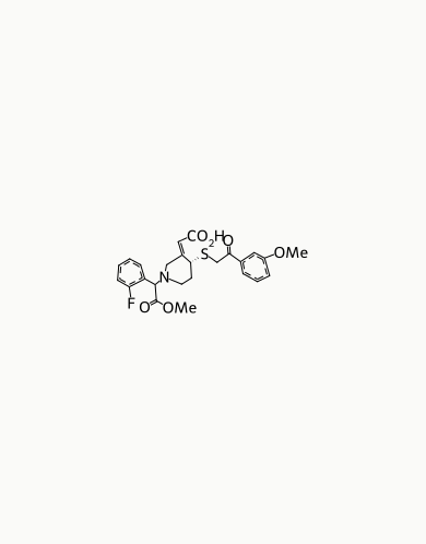 COC(=O)C(c1ccccc1F)N1CC[C@@H](SCC(=O)c2cccc(OC)c2)/C(=C\C(=O)O)C1